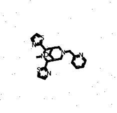 CN1C(c2nccs2)C2CN(Cc3ccccn3)CC(C2=O)C1c1nccs1